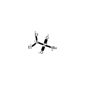 CCN(CC)S(=O)(=O)C(C)(C)C